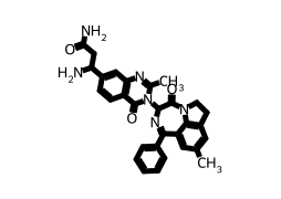 Cc1cc2c3c(c1)C(c1ccccc1)=NC(n1c(C)nc4cc(C(N)CC(N)=O)ccc4c1=O)C(=O)N3CC2